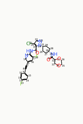 O=C(Nc1ncc(C#Cc2ccc(F)cc2)cc1F)c1c(Cl)cnn1[C@H]1CC[C@@H](NC(=O)C2COCCO2)CC1